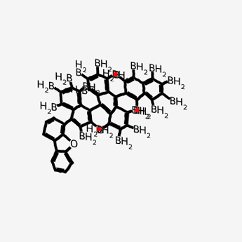 Bc1c(B)c(B)c2c(B)c(-c3c4c(B)c(B)c(B)c(B)c4c(-c4c(B)c(B)c(-c5cccc6c5oc5ccccc56)c5c(B)c(B)c(B)c(B)c45)c4c(B)c(B)c(B)c(B)c34)c(B)c(B)c2c1B